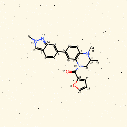 CC(=O)N1c2ccc(-c3ccc4cn(C)nc4c3)cc2N(C(=O)c2ccco2)C[C@@H]1C